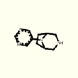 c1ncc(N2C3CCC2CNC3)cn1